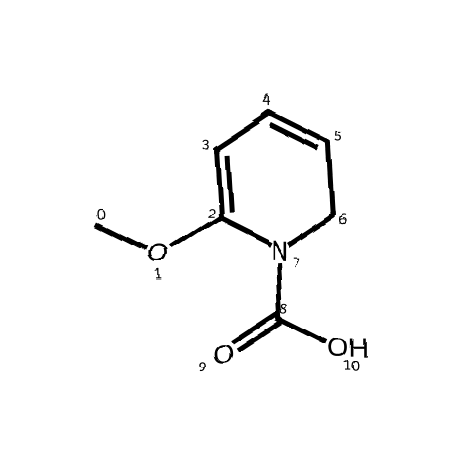 COC1=CC=CCN1C(=O)O